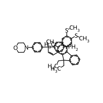 CCC1(CC)c2ccccc2-c2c1c(/C=C\C(C)(c1ccc(P)cc1)c1ccc(N3CCOCC3)cc1)c(C)c1cc(SC)c(SC)cc21